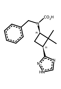 CC1(C)[C@@H](c2nc[nH]n2)C[C@H]1N(Cc1ccccc1)C(=O)O